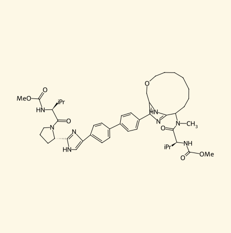 COC(=O)N[C@H](C(=O)N(C)C1CCCCCCCOCc2[nH]c1nc2-c1ccc(-c2ccc(-c3c[nH]c([C@@H]4CCCN4C(=O)[C@@H](NC(=O)OC)C(C)C)n3)cc2)cc1)C(C)C